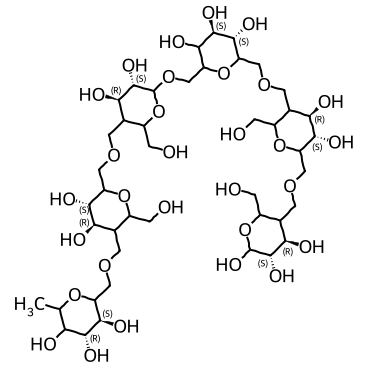 CC1OC(COCC2C(CO)OC(COCC3C(CO)OC(OCC4OC(COCC5C(CO)OC(COCC6C(CO)OC(O)[C@@H](O)[C@@H]6O)[C@@H](O)[C@@H]5O)[C@@H](O)[C@H](O)C4O)[C@@H](O)[C@@H]3O)[C@@H](O)[C@@H]2O)[C@@H](O)[C@H](O)C1O